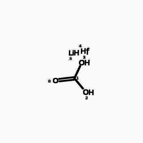 O=C(O)O.[Hf].[LiH]